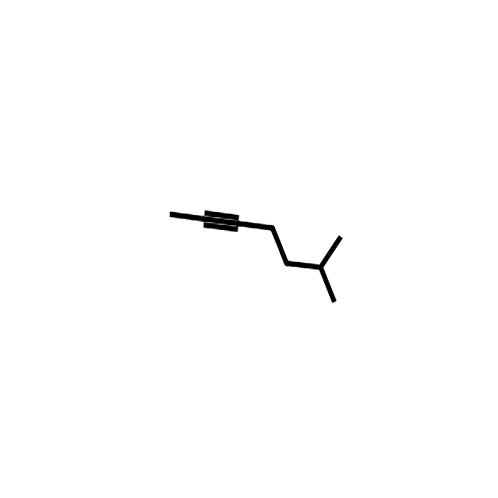 CC#CCC[C](C)C